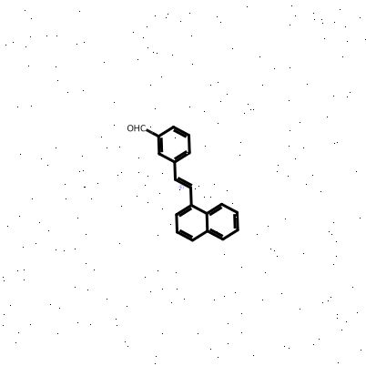 O=Cc1cccc(/C=C/c2cccc3ccccc23)c1